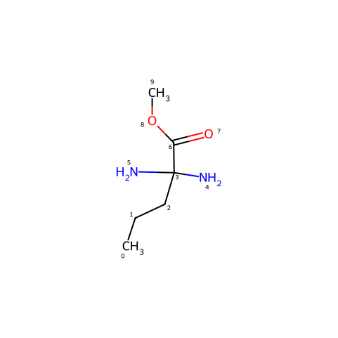 CCCC(N)(N)C(=O)OC